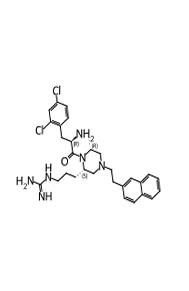 C[C@@H]1CN(CCc2ccc3ccccc3c2)C[C@H](CCCNC(=N)N)N1C(=O)[C@H](N)Cc1ccc(Cl)cc1Cl